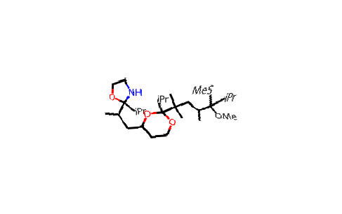 COC(SC)(C(C)C)C(C)CC(C)(C)C1(C(C)C)OCCC(CC(C)C2(C(C)C)NCCO2)O1